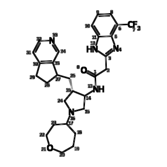 O=C(Cc1nc2c(C(F)(F)F)cccc2[nH]1)NC1CN(C2CCCOCC2)C[C@@H]1CC1CCc2ccncc21